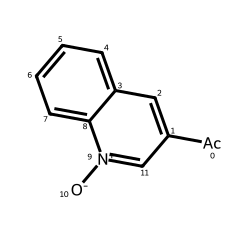 CC(=O)c1cc2ccccc2[n+]([O-])c1